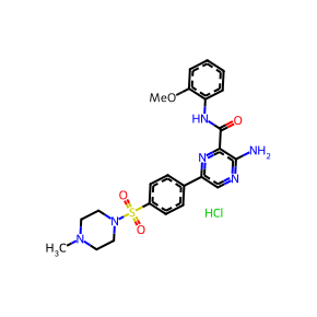 COc1ccccc1NC(=O)c1nc(-c2ccc(S(=O)(=O)N3CCN(C)CC3)cc2)cnc1N.Cl